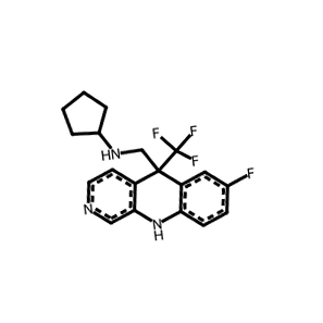 Fc1ccc2c(c1)C(CNC1CCCC1)(C(F)(F)F)c1ccncc1N2